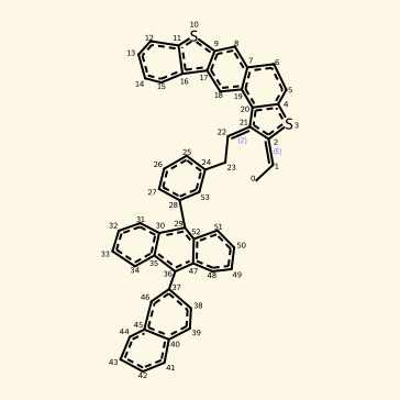 C/C=c1/sc2ccc3cc4sc5ccccc5c4cc3c2/c1=C/Cc1cccc(-c2c3ccccc3c(-c3ccc4ccccc4c3)c3ccccc23)c1